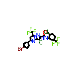 O=C(Nc1cc(C(F)(F)F)ccc1Cl)c1nn2c(C(F)(F)F)cc(-c3ccc(Br)cc3)nc2c1Cl